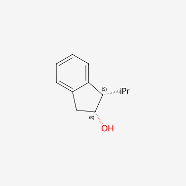 CC(C)[C@H]1c2ccccc2C[C@H]1O